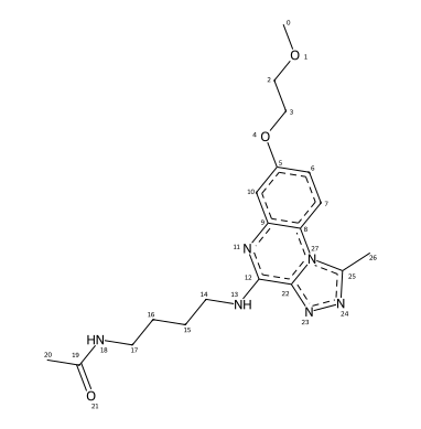 COCCOc1ccc2c(c1)nc(NCCCCNC(C)=O)c1nnc(C)n12